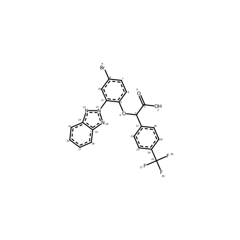 O=C(O)C(Oc1ccc(Br)cc1-n1nc2ccccc2n1)c1ccc(C(F)(F)F)cc1